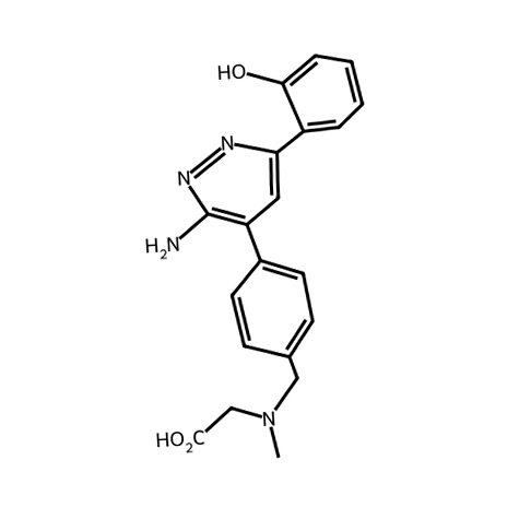 CN(CC(=O)O)Cc1ccc(-c2cc(-c3ccccc3O)nnc2N)cc1